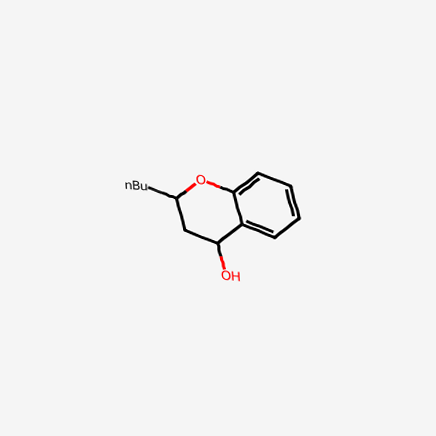 CCCCC1CC(O)c2ccccc2O1